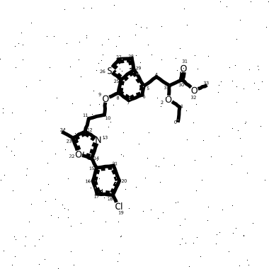 CCOC(Cc1ccc(OCCc2nc(-c3ccc(Cl)cc3)oc2C)c2sccc12)C(=O)OC